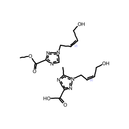 COC(=O)c1ncn(C/C=C\CO)n1.Cc1nc(C(=O)O)nn1C/C=C\CO